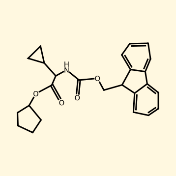 O=C(NC(C(=O)OC1CCCC1)C1CC1)OCC1c2ccccc2-c2ccccc21